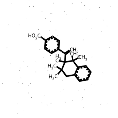 C=C(c1ccc(C(=O)O)cc1)C1(C)C(C)(C)Cc2ccccc2C1(C)C